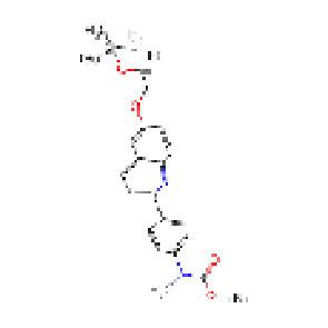 CC[C@H](COc1ccc2nc(-c3ccc(N(C)C(=O)OC(C)(C)C)cc3)ccc2c1)O[Si](C)(C)C(C)(C)C